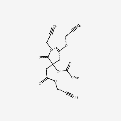 C#CCOC(=O)CC(CC(=O)OCC#C)(OC(=O)OC)C(=O)OCC#C